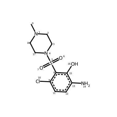 CN1CCN(S(=O)(=O)c2c(Cl)ccc(N)c2O)CC1